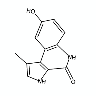 Cc1c[nH]c2c(=O)[nH]c3ccc(O)cc3c12